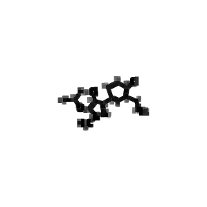 CCSCc1cc(-c2nn(C)c(OC(F)F)c2Cl)ccc1Cl